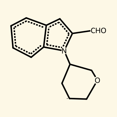 O=Cc1cc2ccccc2n1C1C[CH]COC1